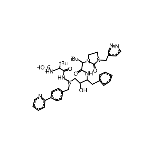 CCC(C)C(C(=O)NC(Cc1ccccc1)C(O)CN(Cc1ccc(-c2ccccn2)cc1)NC(=O)C(NC(=O)O)C(C)(C)C)N1CCN(Cc2ccnnc2)C1=O